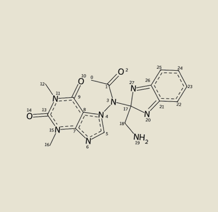 CC(=O)N(n1cnc2c1c(=O)n(C)c(=O)n2C)C1(CN)N=c2ccccc2=N1